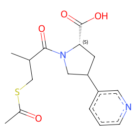 CC(=O)SCC(C)C(=O)N1CC(c2cccnc2)C[C@H]1C(=O)O